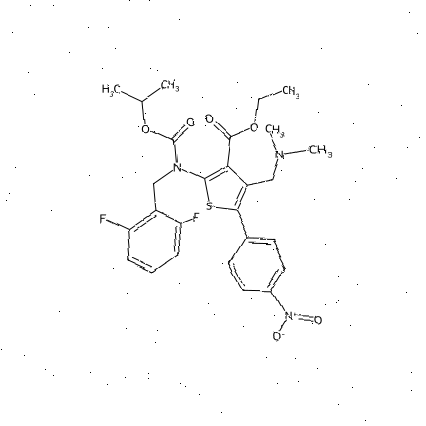 CCOC(=O)c1c(N(Cc2c(F)cccc2F)C(=O)OC(C)C)sc(-c2ccc([N+](=O)[O-])cc2)c1CN(C)C